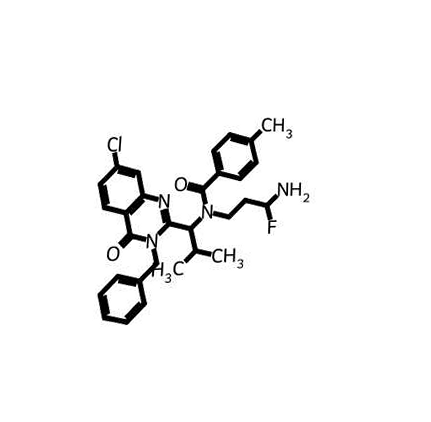 Cc1ccc(C(=O)N(CCC(N)F)C(c2nc3cc(Cl)ccc3c(=O)n2Cc2ccccc2)C(C)C)cc1